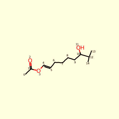 CC(=O)OC=CCCCCC(O)C(C)C